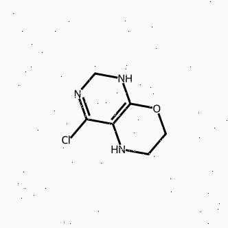 ClC1=NCNC2=C1NCCO2